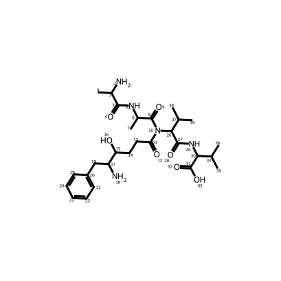 CC(N)C(=O)NC(C)C(=O)N(C(=O)CCC(O)C(N)Cc1ccccc1)C(C(=O)NC(C(=O)O)C(C)C)C(C)C